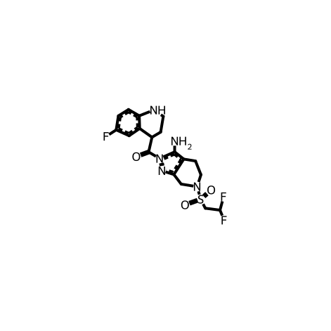 Nc1c2c(nn1C(=O)C1CCNc3ccc(F)cc31)CN(S(=O)(=O)CC(F)F)CC2